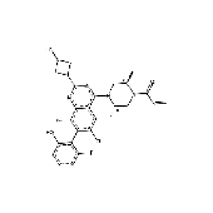 C=CC(=O)N1C[C@H](C)N(c2nc(C3CN(C(C)C)C3)nc3c(F)c(-c4c(O)cccc4F)c(Cl)cc23)C[C@H]1C